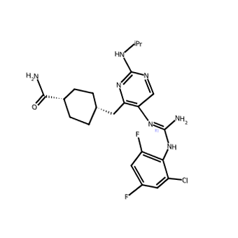 CC(C)Nc1ncc(/N=C(\N)Nc2c(F)cc(F)cc2Cl)c(C[C@H]2CC[C@@H](C(N)=O)CC2)n1